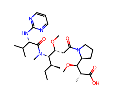 CC[C@H](C)[C@@H]([C@@H](CC(=O)N1CCC[C@H]1[C@H](OC)[C@@H](C)C(=O)O)OC)N(C)C(=O)[C@@H](Nc1ncccn1)C(C)C